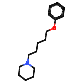 c1ccc(OCCCCCN2CCCCC2)cc1